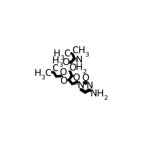 CC(C)CC(=O)OC1C[C@@H](n2ccc(N)nc2=O)OC1COC(=O)[C@@H](N)C(C)C